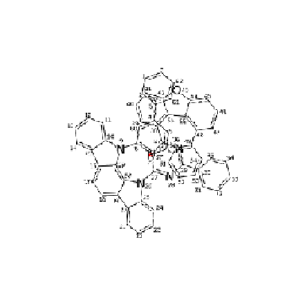 c1ccc(-c2cccc(-n3c4ccccc4c4ccc5c6ccccc6n(-c6nc(-c7ccccc7)nc(-c7cccc8oc9cccc(-c%10ccccc%10)c9c78)n6)c5c43)c2)cc1